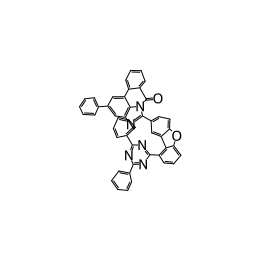 O=c1c2ccccc2c2cc(-c3ccccc3)cc3nc(-c4ccc5oc6cccc(-c7nc(-c8ccccc8)nc(-c8ccccc8)n7)c6c5c4)n1c32